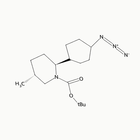 C[C@@H]1CC[C@@H](C2CCC(N=[N+]=[N-])CC2)N(C(=O)OC(C)(C)C)C1